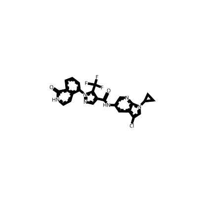 O=C(Nc1cnc2c(c1)c(Cl)cn2C1CC1)c1cnn(-c2cccc3c(=O)[nH]ccc23)c1C(F)(F)F